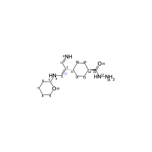 N=C/C(=C\NC1CCCCO1)[C@H]1CC[C@H](C(=O)NN)CC1